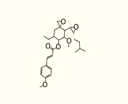 CCC1CC2(CO2)C([C@@]2(C)O[C@@H]2CCC(C)C)C(OC)C1OC(=O)C=Cc1ccc(OC)cc1